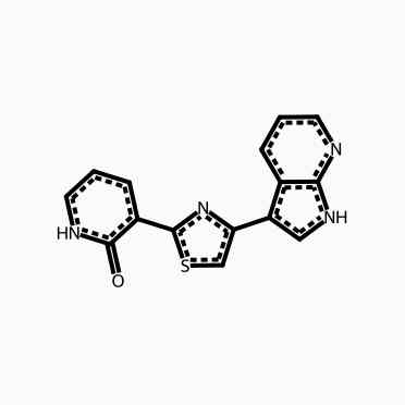 O=c1[nH]cccc1-c1nc(-c2c[nH]c3ncccc23)cs1